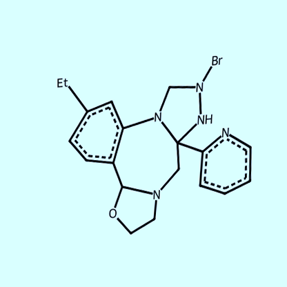 CCc1ccc2c(c1)N1CN(Br)NC1(c1ccccn1)CN1CCOC21